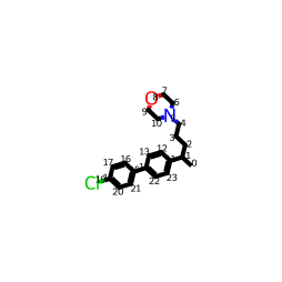 CC(CCCN1CCOCC1)c1ccc(-c2ccc(Cl)cc2)cc1